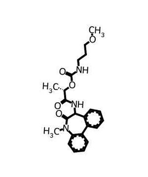 COCCCNC(=O)O[C@@H](C)C(=O)NC1C(=O)N(C)c2ccccc2-c2ccccc21